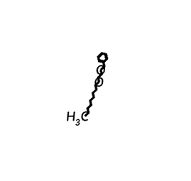 CCCCCCCCCOCCOCc1ccccc1